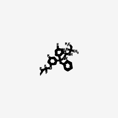 CC(C)(CC(F)(F)F)NC(=O)NC(Cc1ccccc1)(c1ccc(F)cc1)c1cc(F)cc(OC(F)(F)C(F)F)c1